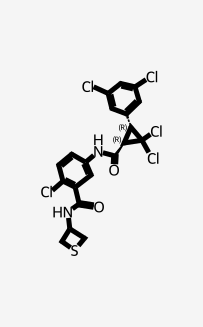 O=C(NC1CSC1)c1cc(NC(=O)[C@H]2[C@H](c3cc(Cl)cc(Cl)c3)C2(Cl)Cl)ccc1Cl